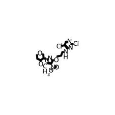 Cc1c([N+](=O)[O-])c(OCCCNc2nc(Cl)ncc2Cl)nn1C1COCCC1=O